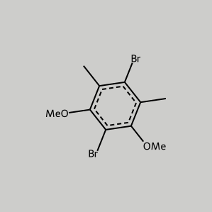 COc1c(C)c(Br)c(C)c(OC)c1Br